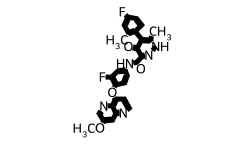 COc1cnc2c(Oc3ccc(NC(=O)c4n[nH]c(C)c(-c5ccc(F)cc5C)c4=O)cc3F)ccnc2c1